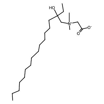 CCCCCCCCCCCCCCC(O)(CC)C[N+](C)(C)CC(=O)[O-]